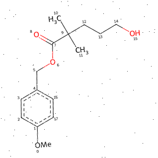 COc1ccc(COC(=O)C(C)(C)CCCO)cc1